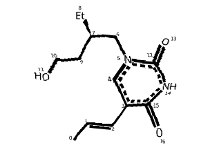 C/C=C/c1cn(C[C@H](CC)CCO)c(=O)[nH]c1=O